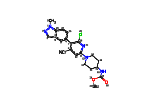 Cn1ncc2cc(-c3c(C#N)cc(N4CCC(NC(=O)OC(C)(C)C)CC4)nc3Cl)ccc21